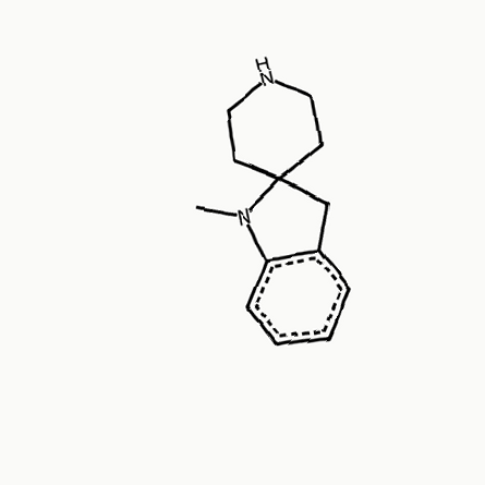 CN1c2ccccc2CC12CCNCC2